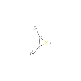 CC(C)C1SC1C(C)C